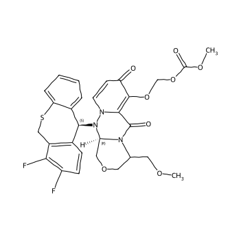 COCC1COC[C@@H]2N1C(=O)c1c(OCOC(=O)OC)c(=O)ccn1N2[C@@H]1c2ccccc2SCc2c1ccc(F)c2F